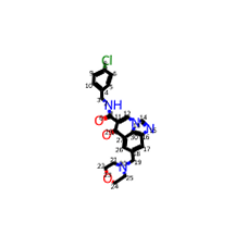 O=C(NCc1ccc(Cl)cc1)c1cn2cnc3cc(CN4CCOCC4)cc(c1=O)c32